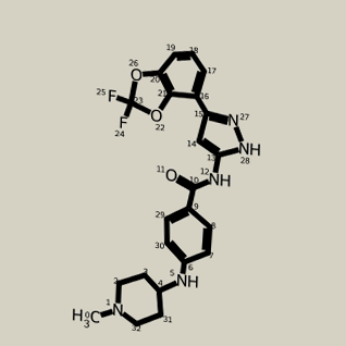 CN1CCC(Nc2ccc(C(=O)Nc3cc(-c4cccc5c4OC(F)(F)O5)n[nH]3)cc2)CC1